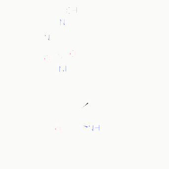 Cn1cnc(S(=O)(=O)NCc2ccc3c(c2)[C@@H](Cc2ccccc2)[C@@H](NCC2CC2)CO3)c1